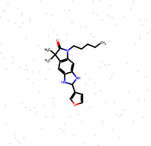 CCCCCN1C(=O)C(C)(C)c2cc3c(cc21)NC(c1ccoc1)N3